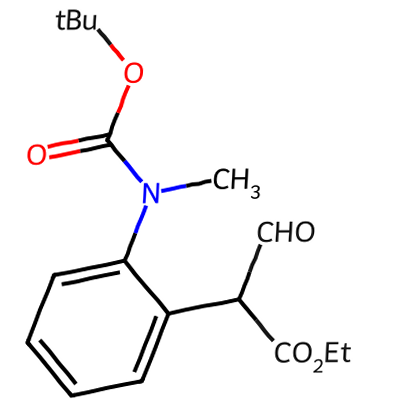 CCOC(=O)C(C=O)c1ccccc1N(C)C(=O)OC(C)(C)C